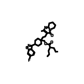 CCCC(CCC)C(=O)OCC1(CCc2c(C)nc3n(c2=O)CCCC3)CCC(c2noc3cc(F)ccc23)CC1